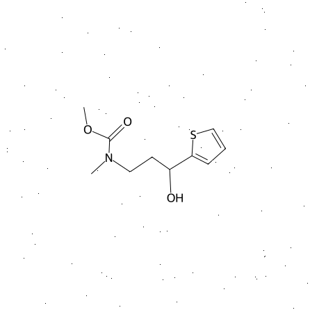 COC(=O)N(C)CCC(O)c1cccs1